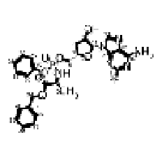 C[C@H](NP(=O)(OC[C@@H]1C[C@@H](O)[C@H](n2cnc3c(N)nc(F)nc32)O1)Oc1ccccc1)C(=O)OCc1ccccc1